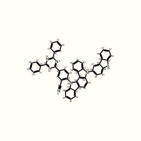 N#Cc1cc(-c2nc(-c3ccccc3)nc(-c3ccccc3)n2)ccc1-n1c2ccccc2c2ccc3c(c4ccccc4n3-c3ccc4sc5ccccc5c4c3)c21